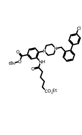 CCOC(=O)CCCCC(=O)Nc1cc(C(=O)OC(C)(C)C)ccc1N1CCN(Cc2ccccc2-c2ccc(Cl)cc2)CC1